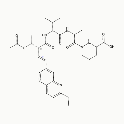 CCc1ccc2ccc(/C=C/[C@@H](C(=O)NC(C(=O)NC(C)C(=O)N3CCCC(C(=O)O)N3)C(C)C)C(C)OC(C)=O)cc2n1